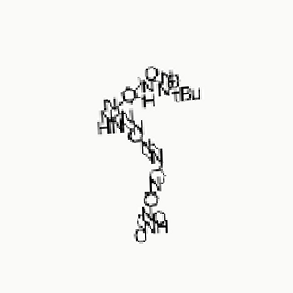 Cc1cc(-c2ncnc3[nH]c(-c4ccc(N5CCN(CC6CCN(c7ccc(N8CCC(=O)NC8=O)cc7)CC6)CC5)cn4)nc23)ccc1[C@@H](C)NC(=O)c1noc(C(C)(C)C)n1